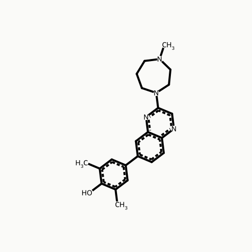 Cc1cc(-c2ccc3ncc(N4CCCN(C)CC4)nc3c2)cc(C)c1O